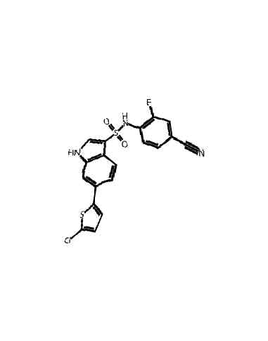 N#Cc1ccc(NS(=O)(=O)c2c[nH]c3cc(-c4ccc(Cl)s4)ccc23)c(F)c1